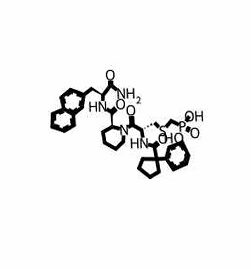 NC(=O)[C@H](Cc1ccc2ccccc2c1)NC(=O)[C@@H]1CCCCN1C(=O)[C@H](CSCP(=O)(O)O)NC(=O)C1(c2ccccc2)CCCC1